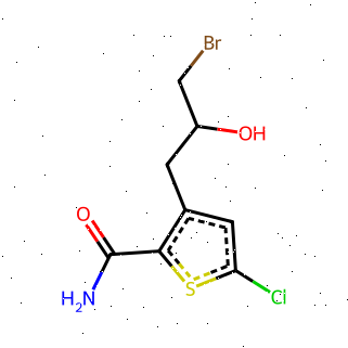 NC(=O)c1sc(Cl)cc1CC(O)CBr